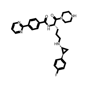 O=C(N[C@@H](CCCN[C@@H]1C[C@H]1c1ccc(F)cc1)C(=O)N1CCNCC1)c1ccc(-c2ncccn2)cc1